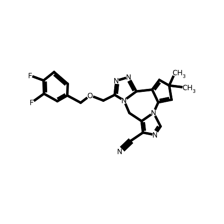 CC1(C)C=C2C(=C1)n1cnc(C#N)c1Cn1c(COCc3ccc(F)c(F)c3)nnc12